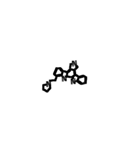 C1=NCc2c1c1c(c3c2-c2cccc(CCN4CCCC4)c2N=3)=Nc2ccccc2-1